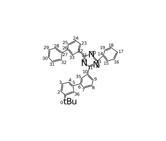 CC(C)(C)c1cccc(-c2cccc(-c3nc(-c4ccccc4)nc(-c4cccc(-c5ccccc5)c4)n3)c2)c1